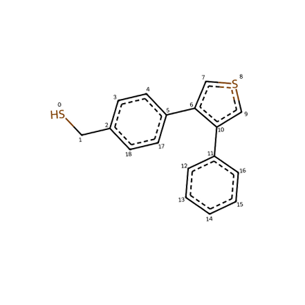 SCc1ccc(-c2cscc2-c2ccccc2)cc1